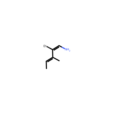 C/C=C(C)/C(=C\N)CC